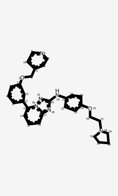 c1cc(OCc2ccncc2)cc(-c2cccc3nc(Nc4ccc(OCCN5CCCC5)cc4)nn23)c1